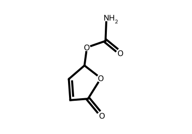 NC(=O)OC1C=CC(=O)O1